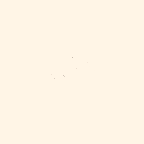 O=C1N2[C@@H](CC[C@H]2c2cncc(F)c2)OC12CCN(c1cccc3c(F)cnn13)CC2